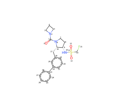 O=C(N1CCC1)N1CC[C@H](NS(=O)(=O)CF)[C@@H]1Cc1cccc(-c2ccccc2)c1